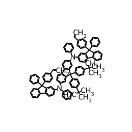 C=Cc1ccc(C2(c3ccccc3)c3ccccc3-c3ccc(N(c4ccccc4)c4ccc5c(c4)C(c4ccc(C(C)(C)C)cc4)(c4ccc(C(C)(C)C)cc4)c4cc(N(c6ccccc6)c6ccc7c(c6)C(c6ccccc6)(c6ccc(C=C)cc6)c6ccccc6-7)ccc4-5)cc32)cc1